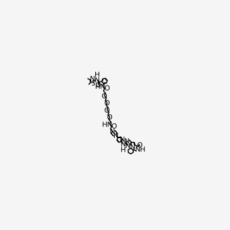 Cc1nc(NC(=O)c2ccccc2NC(=O)CCOCCOCCOCCOCCNC(=O)CN2CCN(c3ccc(Nc4ncc5cc6n(c5n4)C4(CCCCC4)CNC6=O)nc3)CC2)sc1C